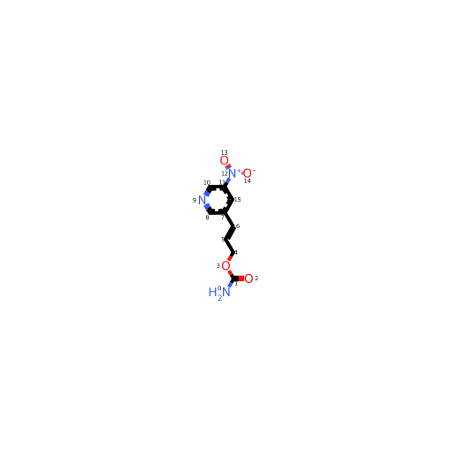 NC(=O)OC/C=C/c1cncc([N+](=O)[O-])c1